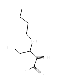 C=C(C(=O)O)C(CC)NCCCC